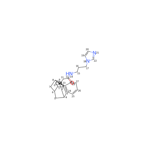 CC1C2CC3CC1CC(C2)C3(CC(=O)NCCCn1ccnc1)c1ccccc1